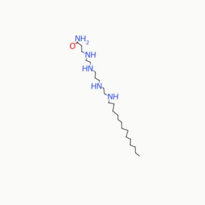 CCCCCCCCCCCCCCNCCNCCCNCCNCCC(N)=O